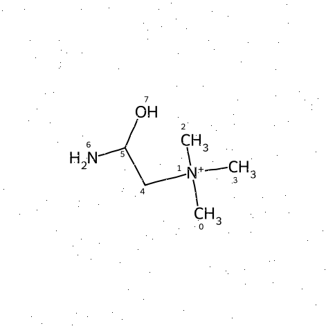 C[N+](C)(C)CC(N)O